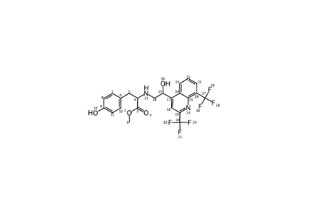 COC(=O)C(Cc1ccc(O)cc1)NCC(O)c1cc(C(F)(F)F)nc2c(C(F)(F)F)cccc12